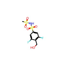 CS(=O)(=O)NS(=O)(=O)c1cc(F)c(CO)c(F)c1